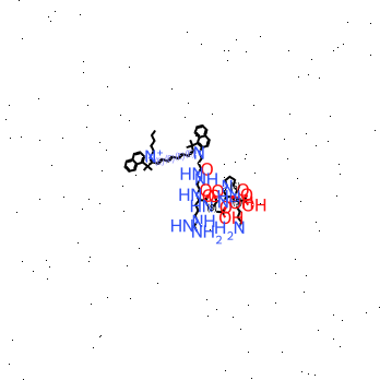 CCCCC[N+]1=C(/C=C/C=C/C=C/C=C2/N(CCC(=O)NNCC(=O)NC(CCCNC(=N)N)C(=O)N[C@@H](CC(=O)O)C(=O)NC(CO)C(=O)N3CCC[C@H]3C(=O)N[C@@H](CCCCN)C(=O)O)c3ccc4ccccc4c3C2(C)C)C(C)(C)c2c1ccc1ccccc21